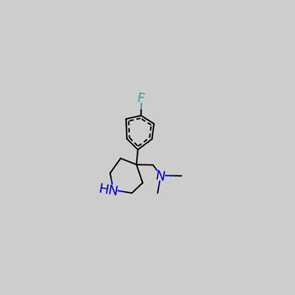 CN(C)CC1(c2ccc(F)cc2)CCNCC1